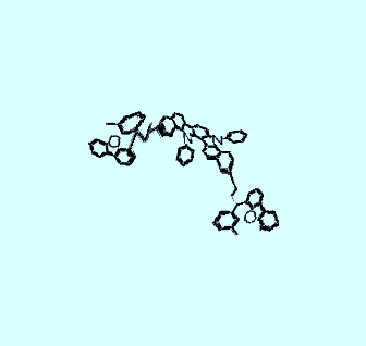 Cc1cccc([C@H](CCc2ccc3c(ccc4c5c(ccc6c7ccc8cc(N(c9cccc(C)c9)c9cccc%10c9oc9ccccc9%10)ccc8c7n(-c7ccccc7)c65)n(-c5ccccc5)c34)c2)c2cccc3c2oc2ccccc23)c1